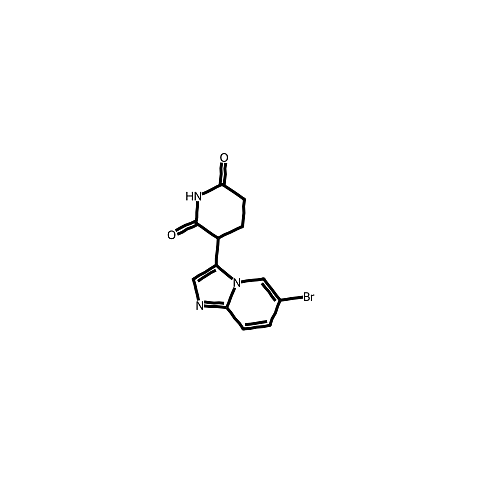 O=C1CCC(c2cnc3ccc(Br)cn23)C(=O)N1